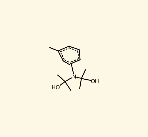 Cc1cccc(N(C(C)(C)O)C(C)(C)O)c1